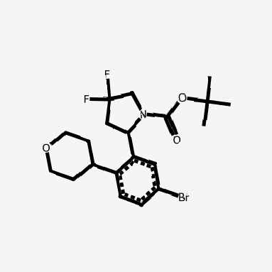 CC(C)(C)OC(=O)N1CC(F)(F)CC1c1cc(Br)ccc1C1CCOCC1